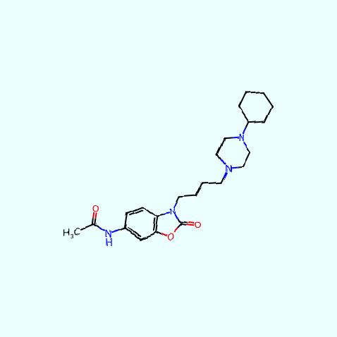 CC(=O)Nc1ccc2c(c1)oc(=O)n2CCCCN1CCN(C2CCCCC2)CC1